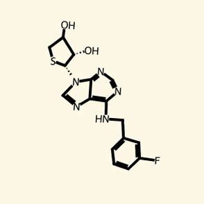 OC1CS[C@@H](n2cnc3c(NCc4cccc(F)c4)ncnc32)[C@H]1O